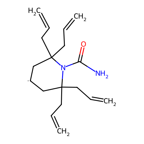 C=CCC1(CC=C)C[CH]CC(CC=C)(CC=C)N1C(N)=O